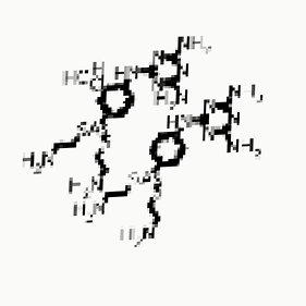 Cl.Cl.NCCS[As](SCCN)c1ccc(Nc2nc(N)nc(N)n2)cc1.NCCS[As](SCCN)c1ccc(Nc2nc(N)nc(N)n2)cc1